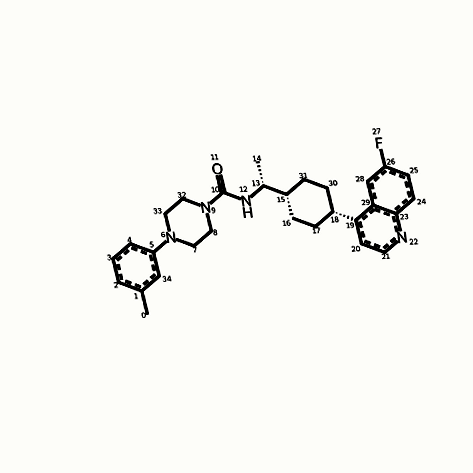 Cc1cccc(N2CCN(C(=O)N[C@H](C)[C@H]3CC[C@@H](c4ccnc5ccc(F)cc54)CC3)CC2)c1